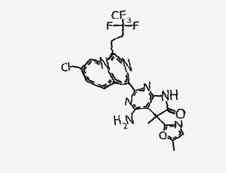 Cc1cnc(C2(C)C(=O)Nc3nc(-c4nc(CCC(F)(F)C(F)(F)F)n5cc(Cl)ccc45)nc(N)c32)o1